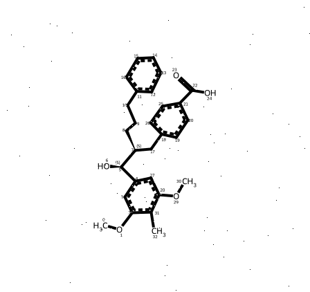 COc1cc([C@@H](O)[C@@H](CCCc2ccccc2)Cc2ccc(C(=O)O)cc2)cc(OC)c1C